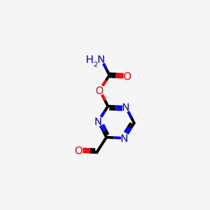 NC(=O)Oc1ncnc(C=O)n1